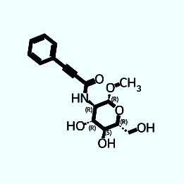 CO[C@@H]1O[C@H](CO)[C@@H](O)[C@H](O)[C@H]1NC(=O)C#Cc1ccccc1